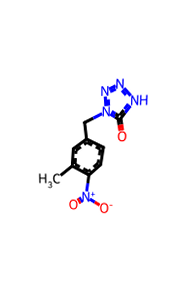 Cc1cc(Cn2nn[nH]c2=O)ccc1[N+](=O)[O-]